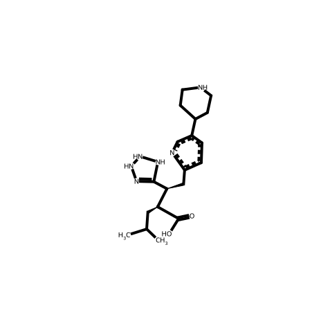 CC(C)C[C@H](C(=O)O)[C@H](Cc1ccc(C2CCNCC2)cn1)C1=NNNN1